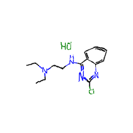 CCN(CC)CCNc1nc(Cl)nc2ccccc12.Cl